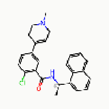 C[C@@H](NC(=O)c1cc(C2=CCN(C)CC2)ccc1Cl)c1cccc2ccccc12